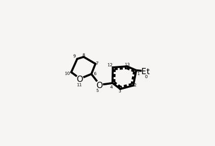 CCc1ccc(OC2CCCCO2)cc1